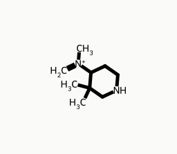 C=[N+](C)C1CCNCC1(C)C